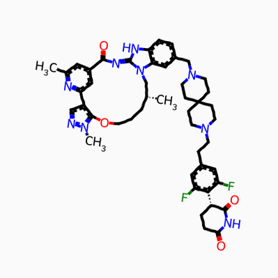 Cc1cc2cc(n1)-c1cnn(C)c1OCCC[C@@H](C)CN1/C(=N/C2=O)Nc2ccc(CN3CCC4(CCN(CCc5cc(F)c([C@H]6CCC(=O)NC6=O)c(F)c5)CC4)CC3)cc21